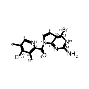 Cc1cnc(C(=O)n2ccc3c(Br)nc(N)nc32)c(C)c1Cl